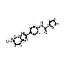 O=C(Nc1ccc(-c2nc3cc(Cl)ccc3o2)cc1)c1cccs1